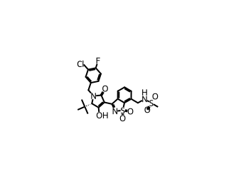 CC(C)(C)[C@H]1C(O)=C(C2=NS(=O)(=O)c3c(CNS(C)(=O)=O)cccc32)C(=O)N1Cc1ccc(F)c(Cl)c1